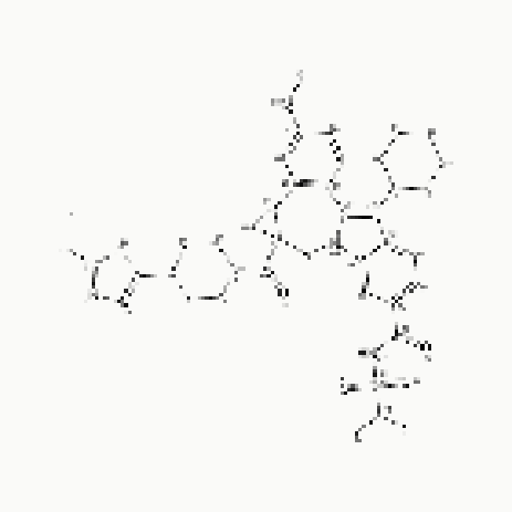 CCc1nnc(C2CCN(C(=O)C34CC3c3cc(OC)ccc3-c3c(C5CCCCC5)c5ccc(C(=O)NS(=O)(=O)C(C)C)cc5n3C4)CC2)o1